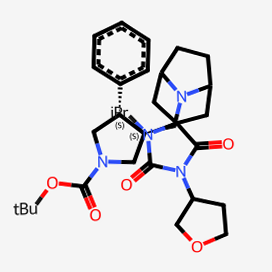 CC(C)N1C(=O)N(C2CCOC2)C(=O)C12CC1CCC(C2)N1C[C@H]1CN(C(=O)OC(C)(C)C)C[C@@H]1c1ccccc1